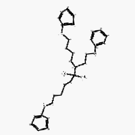 CC(C)([CH]CCCCOc1ccccc1)C(CCCCOc1ccccc1)CCOc1ccccc1